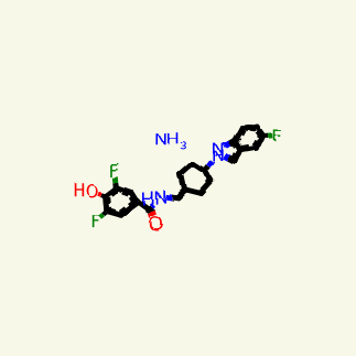 N.O=C(NCC1CCC(n2cc3cc(F)ccc3n2)CC1)c1cc(F)c(O)c(F)c1